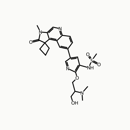 CN1C(=O)C2(CCC2)c2c1cnc1ccc(-c3cnc(OCC(CO)N(C)C)c(NS(C)(=O)=O)c3)cc21